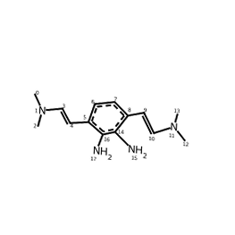 CN(C)/C=C/c1ccc(/C=C/N(C)C)c(N)c1N